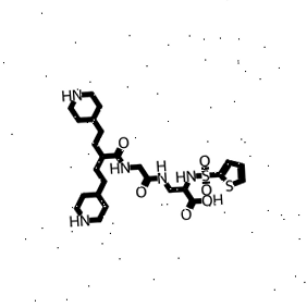 O=C(CNC(=O)C(CCC1CCNCC1)CCC1CCNCC1)NCC(NS(=O)(=O)c1cccs1)C(=O)O